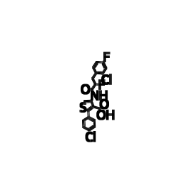 O=C(O)c1c(NC(=O)C(F)Cc2ccc(F)cc2Cl)csc1-c1ccc(Cl)cc1